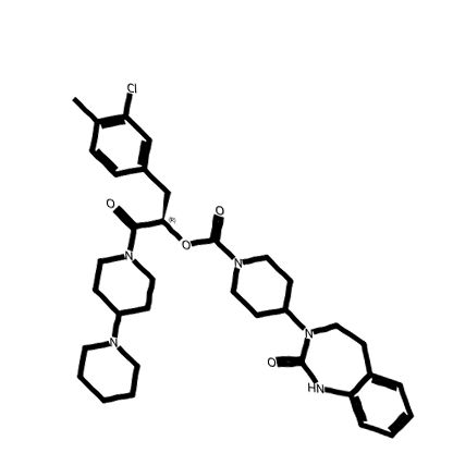 Cc1ccc(C[C@@H](OC(=O)N2CCC(N3CCc4ccccc4NC3=O)CC2)C(=O)N2CCC(N3CCCCC3)CC2)cc1Cl